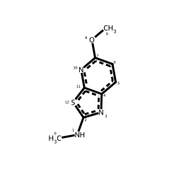 CNc1nc2ccc(OC)nc2s1